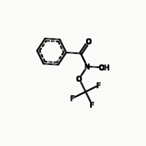 O=C(c1ccccc1)N(O)OC(F)(F)F